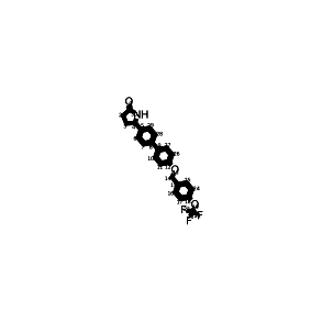 O=C1CCC(c2ccc(-c3ccc(OCc4ccc(OC(F)(F)F)cc4)cc3)cc2)N1